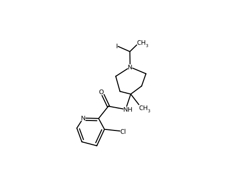 CC(I)N1CCC(C)(NC(=O)c2ncccc2Cl)CC1